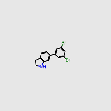 Brc1cc(Br)cc(-c2ccc3c(c2)NCC3)c1